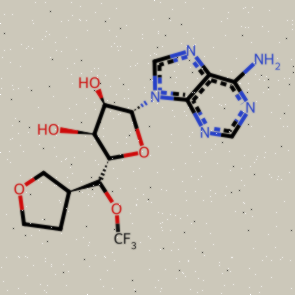 Nc1ncnc2c1ncn2[C@@H]1O[C@H](C(OC(F)(F)F)[C@H]2CCOC2)[C@@H](O)[C@H]1O